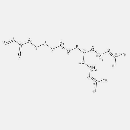 C=CC(=O)OCCC[SiH2]OCC(O[SiH2]C=C(C)C)O[SiH2]C=C(C)C